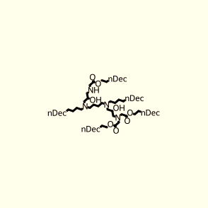 CCCCCCCCCCCCCCN(CCCCN(CCCCCCCCCCCCCC)CC(O)CN(CC(=O)OCCCCCCCCCCCC)CC(=O)OCCCCCCCCCCCC)CC(O)CNCC(=O)OCCCCCCCCCCCC